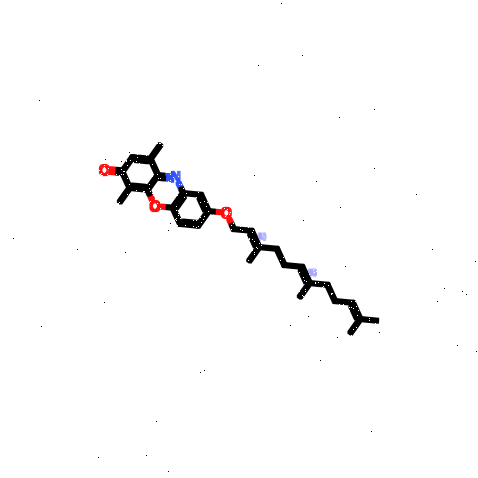 CC(C)=CCC/C(C)=C/CC/C(C)=C/COc1ccc2oc3c(C)c(=O)cc(C)c-3nc2c1